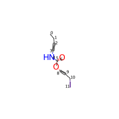 CCC#CNC(=O)OC#CCI